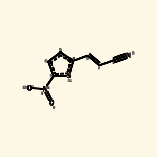 N#C/[C]=C/c1ccc([N+](=O)[O-])s1